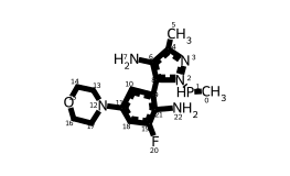 CPn1nc(C)c(N)c1-c1cc(N2CCOCC2)cc(F)c1N